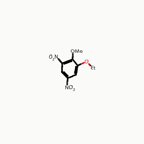 CCOc1cc([N+](=O)[O-])cc([N+](=O)[O-])c1OC